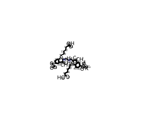 CC1(C)C(/C=C/C=C2/N(CCCCCC(=O)O)c3ccc(S(=O)(=O)[O-])cc3C2(C)C)=[N+](CCCCCC(=O)O)c2ccc(S(=O)(=O)[O-])cc21.[K+]